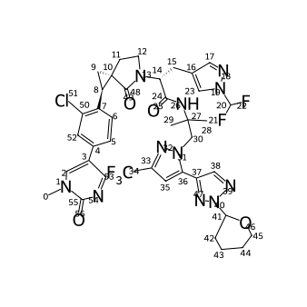 Cn1cc(-c2ccc([C@H]3C[C@@]34CCN([C@H](Cc3cnn(C(F)F)c3)C(=O)NC(C)(C)Cn3nc(C(F)(F)F)cc3-c3cnn(C5CCCCO5)n3)C4=O)c(Cl)c2)cnc1=O